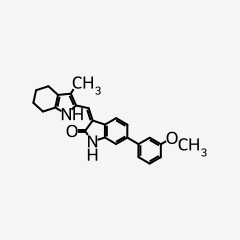 COc1cccc(-c2ccc3c(c2)NC(=O)/C3=C\c2[nH]c3c(c2C)CCCC3)c1